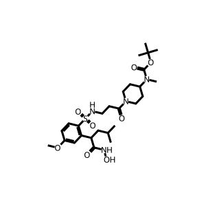 COc1ccc(S(=O)(=O)NCCC(=O)N2CCC(N(C)C(=O)OC(C)(C)C)CC2)c(C(CC(C)C)C(=O)NO)c1